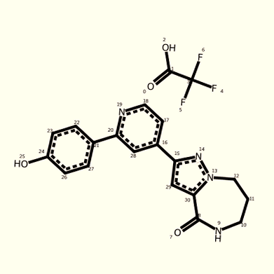 O=C(O)C(F)(F)F.O=C1NCCCn2nc(-c3ccnc(-c4ccc(O)cc4)c3)cc21